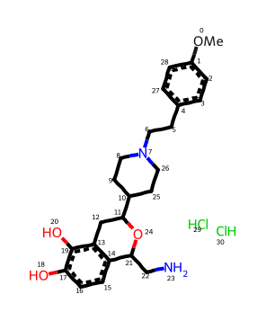 COc1ccc(CCN2CCC(C3Cc4c(ccc(O)c4O)C(CN)O3)CC2)cc1.Cl.Cl